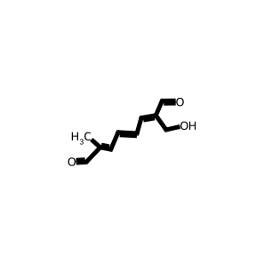 C\C(C=O)=C/C=C/C=C(/C=O)CO